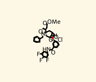 COC(=O)CC1CON(Cc2ccccc2)[C@]12CC1CCC(C2)[C@@H]1S(=O)(=O)c1cc(C(=O)Nc2cc(F)c(F)c(F)c2)ccc1Cl